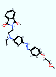 CCN(CCN1C(=O)c2ccccc2C1=O)c1ccc(/N=N/c2ccc(OCCOC)cc2)cc1